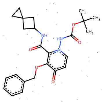 CC(C)(C)OC(=O)Nn1ccc(=O)c(OCc2ccccc2)c1C(=O)NC1CC2(CC2)C1